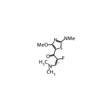 CNc1nc(OC)c(C(=O)/C(F)=C\N(C)C)s1